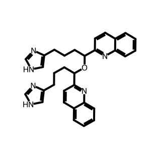 c1ccc2nc(C(CCCc3c[nH]cn3)OC(CCCc3c[nH]cn3)c3ccc4ccccc4n3)ccc2c1